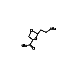 CC(C)(C)CCC1OCC(C(=O)C(C)(C)C)O1